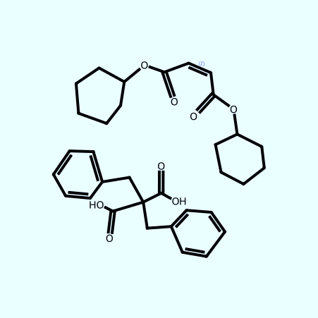 O=C(/C=C\C(=O)OC1CCCCC1)OC1CCCCC1.O=C(O)C(Cc1ccccc1)(Cc1ccccc1)C(=O)O